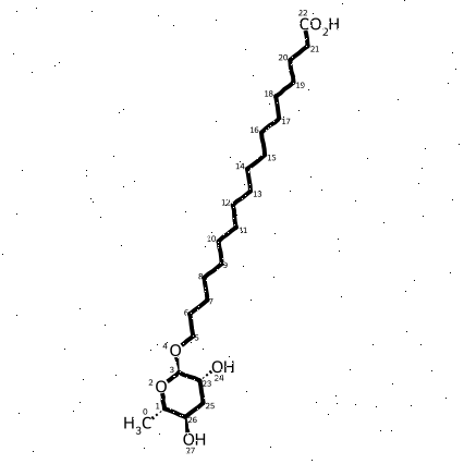 C[C@@H]1O[C@@H](OCCCCCCCCCCCCCCCCCC(=O)O)[C@H](O)C[C@H]1O